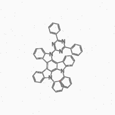 c1ccc(-c2nc(-c3ccccc3)nc(-n3c4ccccc4c4c5c6ccccc6n(-c6ccccc6)c5c5c(c6ccccc6n5-c5ccccc5)c43)n2)cc1